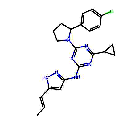 C/C=C/c1cc(Nc2nc(C3CC3)nc(N3CCCC3c3ccc(Cl)cc3)n2)n[nH]1